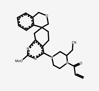 C=CC(=O)N1CCN(c2nc(OC)nc3c2CCC2(COCc4ccccc42)C3)CC1CC#N